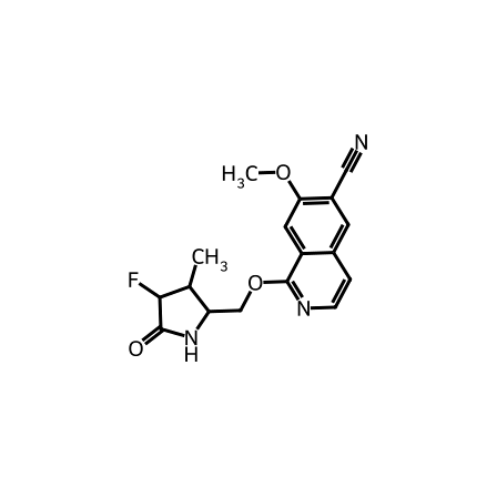 COc1cc2c(OCC3NC(=O)C(F)C3C)nccc2cc1C#N